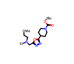 CCN(CCOC)Cc1nnc(C2CCN(C(=O)OC(C)(C)C)CC2)o1